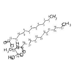 CCCCCCCCCCCCCC(=O)Cl.CCCCCCCCCCCCCC(=O)NC(C)C(=O)O